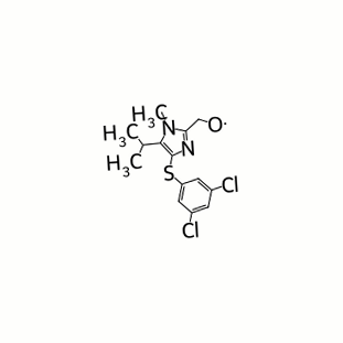 CC(C)c1c(Sc2cc(Cl)cc(Cl)c2)nc(C[O])n1C